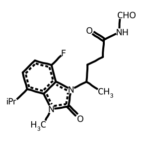 CC(C)c1ccc(F)c2c1n(C)c(=O)n2C(C)CCC(=O)NC=O